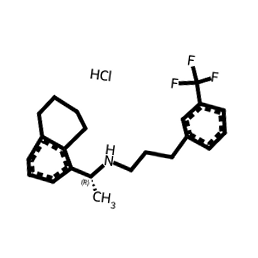 C[C@@H](NCCCc1cccc(C(F)(F)F)c1)c1cccc2c1CCCC2.Cl